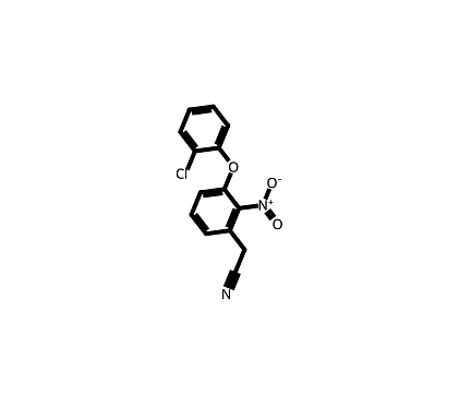 N#CCc1cccc(Oc2ccccc2Cl)c1[N+](=O)[O-]